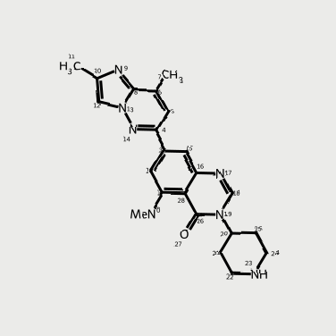 CNc1cc(-c2cc(C)c3nc(C)cn3n2)cc2ncn(C3CCNCC3)c(=O)c12